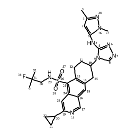 Cc1cc(Nc2nncn2C2CCc3c(cc4cnc(C5CC5)cc4c3S(=O)(=O)NCC(C)(C)F)C2)n(C)n1